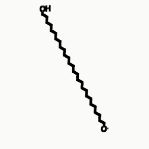 [O]CCCCCCCCCCCCCCCCCCCCCCCCCCCCO